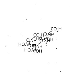 CC(C)(CO)[C@@H](O)C(=O)NCCC(=O)O.CC(C)(CO)[C@@H](O)C(=O)NCCC(=O)O.CC(C)(CO)[C@@H](O)C(=O)NCCC(=O)O